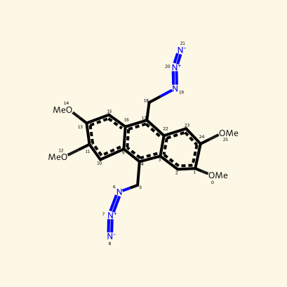 COc1cc2c(CN=[N+]=[N-])c3cc(OC)c(OC)cc3c(CN=[N+]=[N-])c2cc1OC